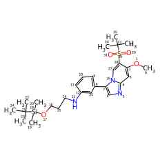 COc1cc2ncc(-c3cccc(NCCCO[Si](C)(C)C(C)(C)C)c3)n2cc1S(=O)(=O)C(C)(C)C